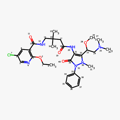 CCOc1ncc(Cl)cc1C(=O)NCC(C)(C)CC(=O)Nc1c(C(CN(C)C)OC)n(C)n(-c2ccccc2)c1=O